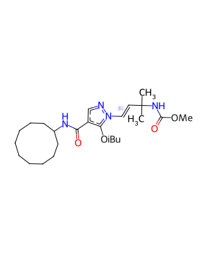 COC(=O)NC(C)(C)/C=C/n1ncc(C(=O)NC2CCCCCCCCC2)c1OCC(C)C